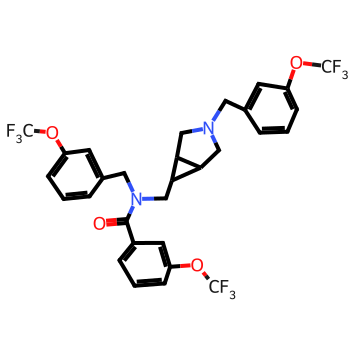 O=C(c1cccc(OC(F)(F)F)c1)N(Cc1cccc(OC(F)(F)F)c1)CC1C2CN(Cc3cccc(OC(F)(F)F)c3)CC21